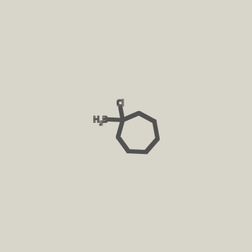 BC1(Cl)CCCCCC1